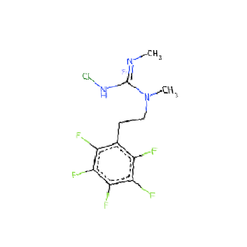 C/N=C(/NCl)N(C)CCc1c(F)c(F)c(F)c(F)c1F